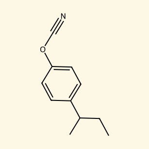 CCC(C)c1ccc(OC#N)cc1